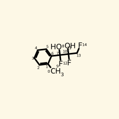 Cc1ccccc1C(O)(F)C(O)(F)CF